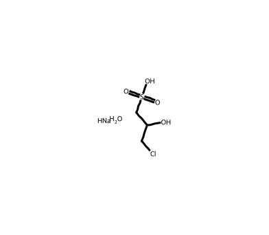 O.O=S(=O)(O)CC(O)CCl.[NaH]